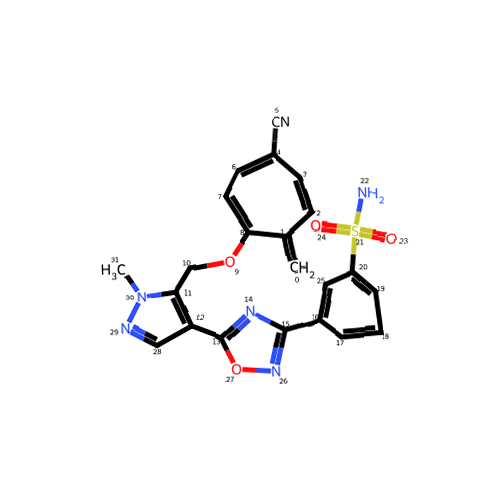 C=C1C=CC(C#N)=CC=C1OCc1c(-c2nc(-c3cccc(S(N)(=O)=O)c3)no2)cnn1C